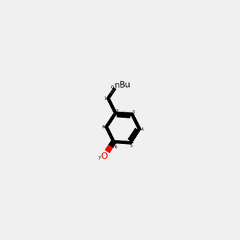 CCCCCC1=CC=[C]C(=O)C1